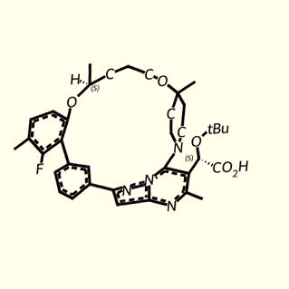 Cc1ccc2c(c1F)-c1cccc(c1)-c1cc3nc(C)c([C@H](OC(C)(C)C)C(=O)O)c(n3n1)N1CCC(C)(CC1)OCCC[C@H](C)O2